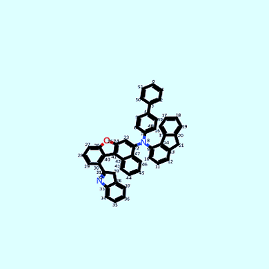 c1ccc(-c2ccc(N(c3cccc4c3-c3ccccc3C4)c3cc4oc5cccc(C6=Nc7ccccc7C6)c5c4c4ccccc34)cc2)cc1